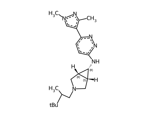 Cc1nn(C)cc1-c1ccc(N[C@@H]2[C@@H]3CN(CC(C)C(C)(C)C)C[C@@H]32)nn1